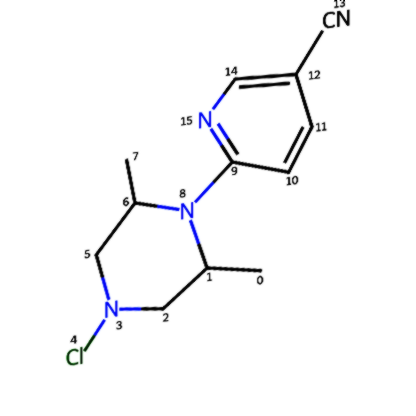 CC1CN(Cl)CC(C)N1c1ccc(C#N)cn1